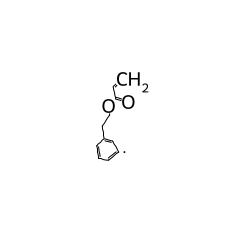 C=CC(=O)OCCc1c[c]ccc1